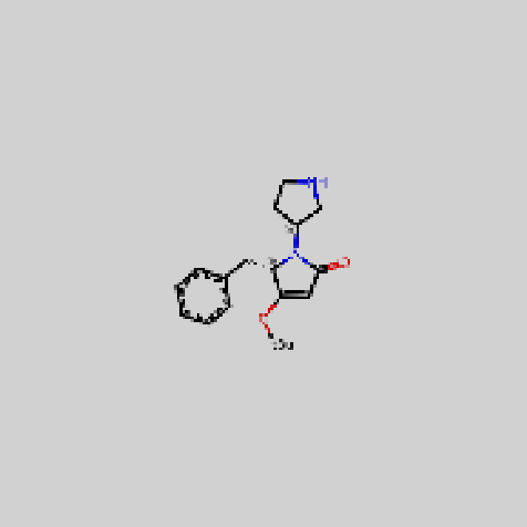 CC(C)(C)OC1=CC(=O)N([C@H]2CCNC2)[C@H]1Cc1ccccc1